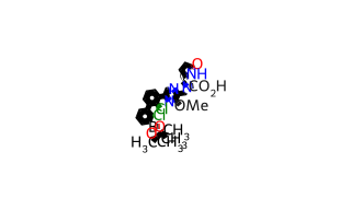 COc1nc(-c2cccc(-c3cccc(B4OC(C)(C)C(C)(C)O4)c3Cl)c2Cl)cnc1CN(C[C@@H]1CCC(=O)N1)C(=O)O